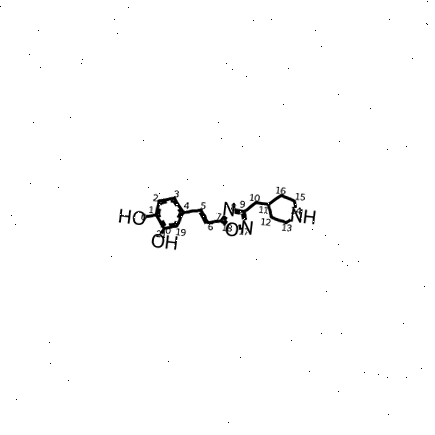 Oc1ccc(/C=C/c2nc(CC3CCNCC3)no2)cc1O